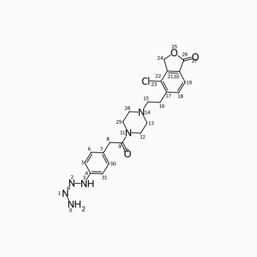 N/N=N\Nc1ccc(CC(=O)N2CCN(CCc3ccc4c(c3Cl)COC4=O)CC2)cc1